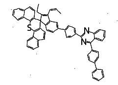 C/C=C\C1=C(CC)C2(c3ccc(-c4ccc(-c5nc(-c6ccc(-c7ccccc7)cc6)c6ccccc6n5)cc4)cc31)c1ccc3ccccc3c1Sc1c2ccc2ccccc12